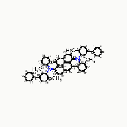 Cc1ccc(-c2ccccc2)cc1-n1c2ccc3cc4c5cccc(C)c5n(-c5cc(-c6ccccc6)ccc5C)c5ccc6cc(c7cccc(C)c71)c2c3c6c45